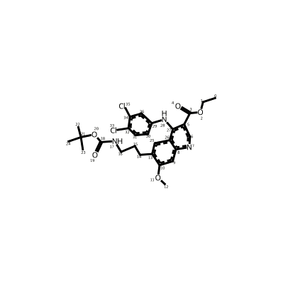 CCOC(=O)c1cnc2cc(OC)c(CCCNC(=O)OC(C)(C)C)cc2c1Nc1ccc(Cl)c(Cl)c1